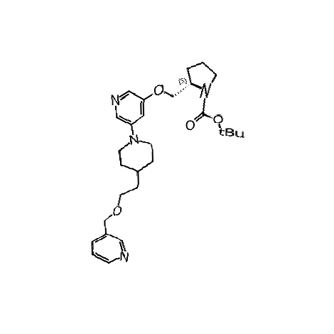 CC(C)(C)OC(=O)N1CCC[C@H]1COc1cncc(N2CCC(CCOCc3cccnc3)CC2)c1